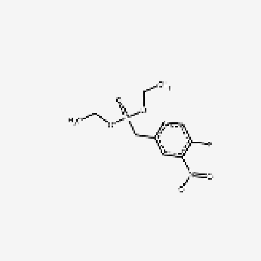 CCOP(=O)(Cc1ccc(F)c([N+](=O)[O-])c1)OCC